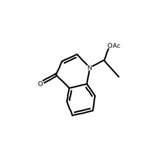 CC(=O)OC(C)n1ccc(=O)c2ccccc21